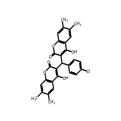 Cc1cc2oc(=O)c(C(c3ccc(Cl)cc3)c3c(O)c4cc(C)c(C)cc4oc3=O)c(O)c2cc1C